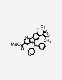 COC(=O)c1cnc2c3cc(F)c(-c4c(C)noc4C)cc3n([C@H](c3ccccc3)C3CCOCC3)c2c1